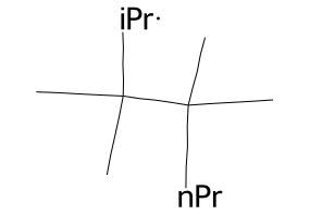 [CH2]CCC(C)(C)C(C)(C)[C](C)C